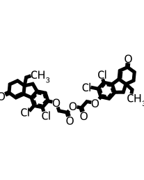 CCC12CCC(=O)C=C1c1c(cc(OCC(=O)OC(=O)COc3cc4c(c(Cl)c3Cl)C3=CC(=O)CCC3(CC)C4)c(Cl)c1Cl)C2